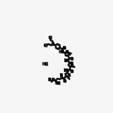 Cl.Cn1nc(NC(=O)c2cc(NC(=O)c3cc(NC(=O)c4ccc(N(CCCl)CCCl)cc4)nn3C)nn2C)cc1C(=O)NCCC(=N)N